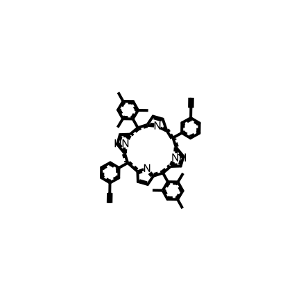 C#Cc1cccc(-c2c3nc(c(-c4c(C)cc(C)cc4C)c4ccc([nH]4)c(-c4cccc(C#C)c4)c4nc(c(-c5c(C)cc(C)cc5C)c5ccc2[nH]5)C=C4)C=C3)c1